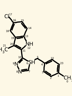 Cc1ccc(C[SH]2C=NN=C2c2[nH]c3ccc(Cl)cc3c2C)cc1